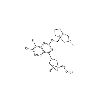 O=C(O)N[C@@]12C[C@@H]1CN(c1nc(OC[C@@]34CCCN3C[C@H](F)C4)nc3c(F)c(Cl)ncc13)C2